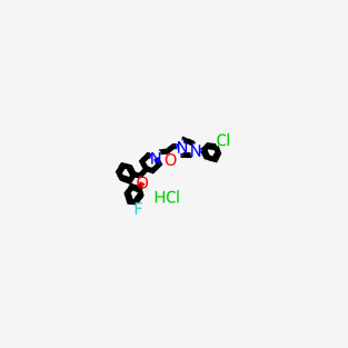 Cl.O=C(CN1CCC(C(Oc2cccc(F)c2)c2ccccc2)CC1)CN1CCN(c2cccc(Cl)c2)CC1